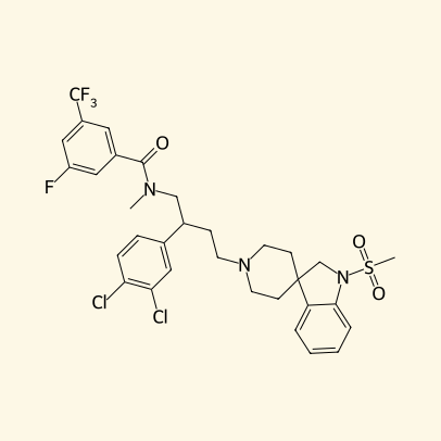 CN(CC(CCN1CCC2(CC1)CN(S(C)(=O)=O)c1ccccc12)c1ccc(Cl)c(Cl)c1)C(=O)c1cc(F)cc(C(F)(F)F)c1